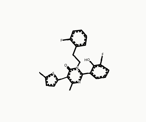 Cc1ccc(-c2c(C)nc(-c3cccc(F)c3O)n(CCc3ccccc3F)c2=O)s1